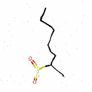 [CH2]C(CCCCC)[SH](=O)=O